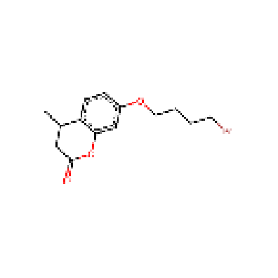 CC1CC(=O)Oc2cc(OCCCCBr)ccc21